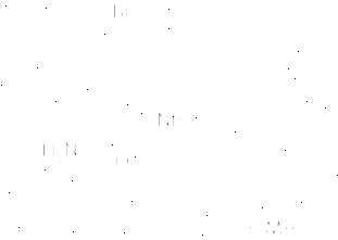 COc1ccc(CNc2cc(Br)ccc2C(N)=O)cc1